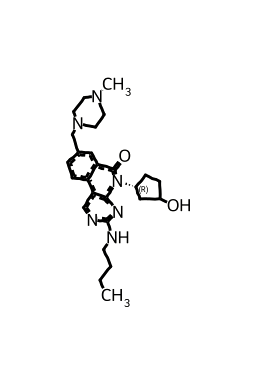 CCCCNc1ncc2c3ccc(CN4CCN(C)CC4)cc3c(=O)n([C@@H]3CCC(O)C3)c2n1